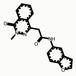 Cn1nc(CC(=O)Nc2ccc3occc3c2)c2ccccc2c1=O